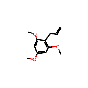 C=CCc1c(OC)cc(OC)cc1OC